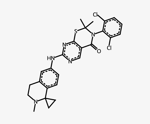 CN1CCc2cc(Nc3ncc4c(n3)SC(C)(C)N(c3c(Cl)cccc3Cl)C4=O)ccc2C12CC2